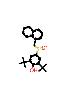 CC(C)(C)c1cc([S+]([O-])Cc2cccc3ccccc23)cc(C(C)(C)C)c1O